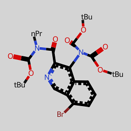 CCCN(C(=O)OC(C)(C)C)C(=O)c1ncc2c(Br)cccc2c1N(C(=O)OC(C)(C)C)C(=O)OC(C)(C)C